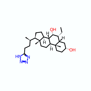 CC[C@H]1[C@@H](O)[C@@H]2[C@H](CC[C@]3(C)[C@@H]([C@H](C)CCc4nnn[nH]4)CC[C@@H]23)[C@@]2(C)CC[C@@H](O)C[C@@H]12